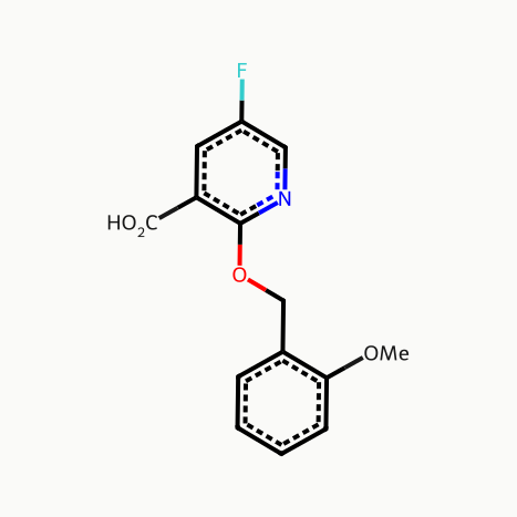 COc1ccccc1COc1ncc(F)cc1C(=O)O